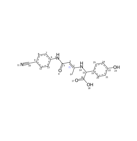 C/C(=C\C(=O)Nc1ccc(C#N)cc1)NC(C(=O)O)c1ccc(O)cc1